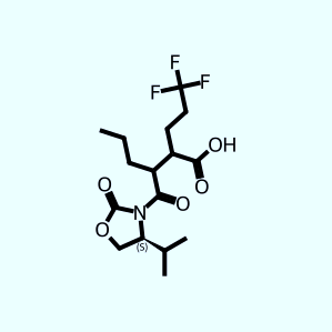 CCCC(C(=O)N1C(=O)OC[C@@H]1C(C)C)C(CCC(F)(F)F)C(=O)O